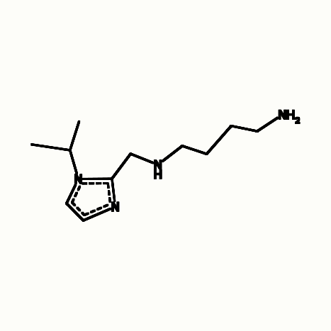 CC(C)n1ccnc1CNCCCCN